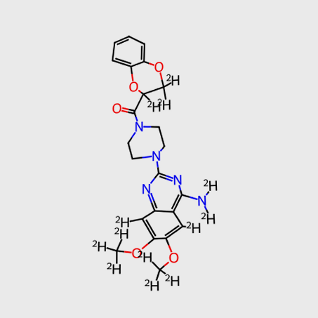 [2H]c1c(OC([2H])([2H])[2H])c(OC([2H])([2H])[2H])c([2H])c2c(N([2H])[2H])nc(N3CCN(C(=O)C4([2H])Oc5ccccc5OC4([2H])[2H])CC3)nc12